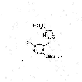 CC(C)COc1ccc(Cl)cc1Cc1nc(C(=O)O)cs1